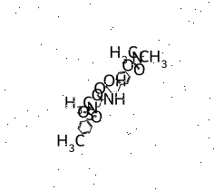 Cc1ccc(S(=O)(=O)N(C)CC(=O)N[C@@H](Cc2ccc(OC(=O)N(C)C)cc2)C(=O)O)cc1